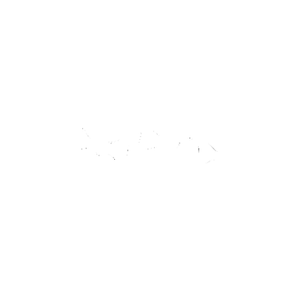 CC/C=C(\C=N/C)Nc1ncc(-c2ccc(CC(=O)Nc3cccc(C)c3)cc2)cn1